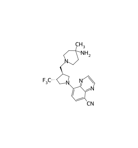 CC1(N)CCN(C[C@H]2CN(c3ccc(C#N)c4nccnc34)C[C@@H]2C(F)(F)F)CC1